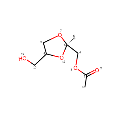 CC(=O)OC[C@]1(C)OCC(CO)O1